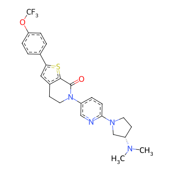 CN(C)[C@H]1CCN(c2ccc(N3CCc4cc(-c5ccc(OC(F)(F)F)cc5)sc4C3=O)cn2)C1